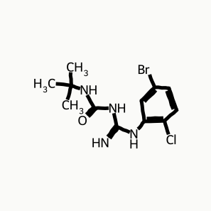 CC(C)(C)NC(=O)NC(=N)Nc1cc(Br)ccc1Cl